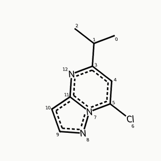 CC(C)c1cc(Cl)n2nccc2n1